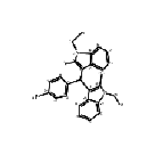 CCn1c(C)c(C(c2ccc(F)cc2)c2c(C)n(CC)c3ccccc23)c2ccccc21